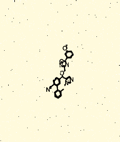 COc1cccc(-c2nc(COC(c3ccc(C#N)c(-c4ccccc4C)c3)c3cncn3C)no2)c1